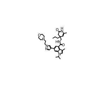 CCCC1(CNC(=O)c2cc(-c3cnn(CCN4CCOCC4)c3)cc3c2c(C)cn3C(C)C)C=C(C)NC(=O)C1